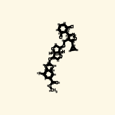 COC(=O)c1cc(F)c2nc(OC3CO[C@@H]4C(OCc5c(-c6c(Cl)cccc6Cl)noc5C5CC5)CO[C@H]34)sc2c1